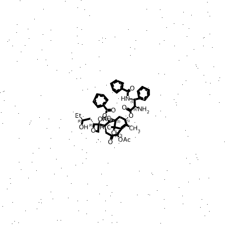 CC[C@@H](O)C[C@H]1OC[C@@]1(OC(C)=O)[C@@H]1CC(=O)[C@H](OC(C)=O)C2=C(C)[C@@H](OC(=O)[C@H](N)[C@@H](NC(=O)c3ccccc3)c3ccccc3)C[C@@](O)([C@H]1OC(=O)c1ccccc1)C2(C)C